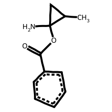 CC1CC1(N)OC(=O)c1ccccc1